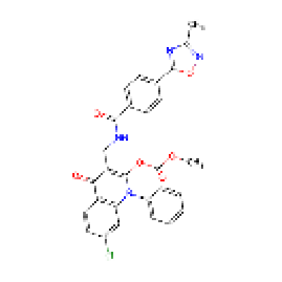 COC(=O)Oc1c(CNC(=O)c2ccc(-c3nc(C)no3)cc2)c(=O)c2ccc(Cl)cc2n1-c1ccccc1